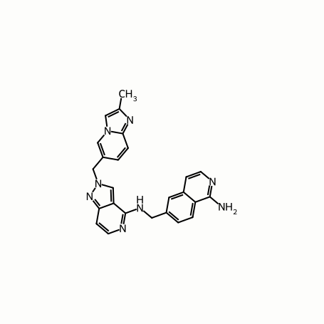 Cc1cn2cc(Cn3cc4c(NCc5ccc6c(N)nccc6c5)nccc4n3)ccc2n1